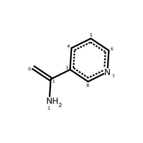 C=C(N)c1cccnc1